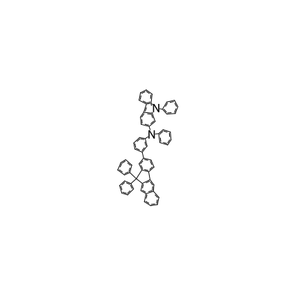 c1ccc(N(c2cccc(-c3ccc4c(c3)C(c3ccccc3)(c3ccccc3)c3cc5ccccc5cc3-4)c2)c2ccc3c4ccccc4n(-c4ccccc4)c3c2)cc1